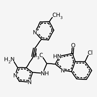 Cc1ccc(C#Cc2c(N)ncnc2NC(C)c2nc3cccc(Cl)c3c(=O)[nH]2)nc1